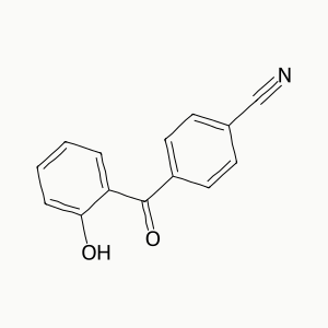 N#Cc1ccc(C(=O)c2ccccc2O)cc1